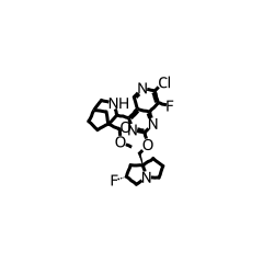 COC(=O)C12CCC(CNC1c1nc(OC[C@@]34CCCN3C[C@H](F)C4)nc3c(F)c(Cl)ncc13)C2